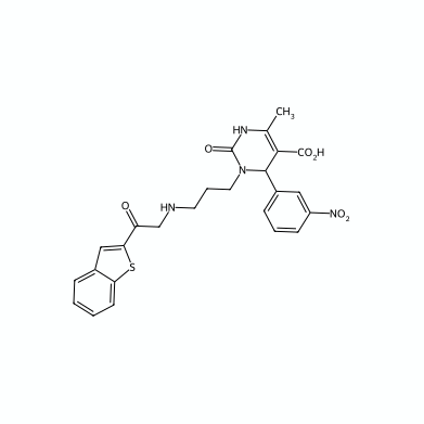 CC1=C(C(=O)O)C(c2cccc([N+](=O)[O-])c2)N(CCCNCC(=O)c2cc3ccccc3s2)C(=O)N1